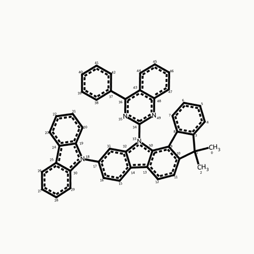 CC1(C)c2ccccc2-c2c1ccc1c3ccc(-n4c5ccccc5c5ccccc54)cc3n(-c3nc(-c4ccccc4)c4ccccc4n3)c21